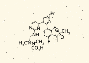 CC(C)n1cc(-c2ccnc(NC[C@H](C)N(C)C(=O)O)n2)c(-c2ccc(F)c(NS(C)(=O)=O)c2F)n1